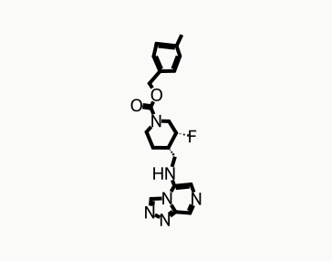 Cc1ccc(COC(=O)N2CC[C@@H](CNc3cncc4nncn34)[C@@H](F)C2)cc1